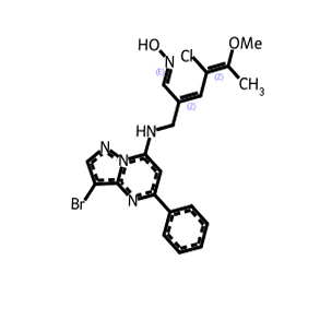 CO/C(C)=C(Cl)/C=C(\C=N\O)CNc1cc(-c2ccccc2)nc2c(Br)cnn12